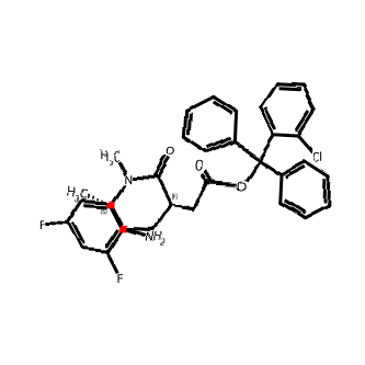 C[C@@H](CN)N(C)C(=O)[C@@H](CC(=O)OC(c1ccccc1)(c1ccccc1)c1ccccc1Cl)Cc1ccc(F)cc1F